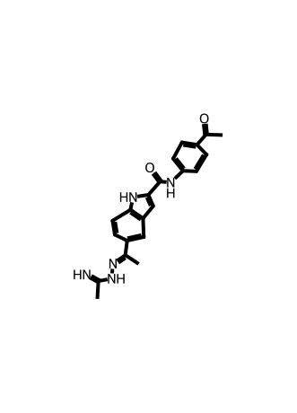 CC(=N)N/N=C(\C)c1ccc2[nH]c(C(=O)Nc3ccc(C(C)=O)cc3)cc2c1